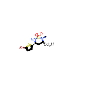 CN1C(C(=O)O)C[C@@H](c2ccc(Br)s2)NS1(=O)=O